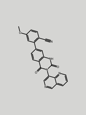 COc1ccc(C#N)c(-c2ccc3c(=O)n(-c4cncc5cccnc45)c(=O)[nH]c3c2)c1